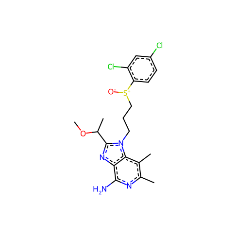 COC(C)c1nc2c(N)nc(C)c(C)c2n1CCC[S+]([O-])c1ccc(Cl)cc1Cl